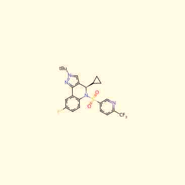 CC(C)(C)n1cc2c(n1)-c1cc(F)ccc1N(S(=O)(=O)c1ccc(C(F)(F)F)nc1)[C@@H]2C1CC1